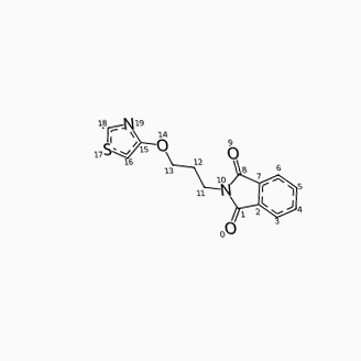 O=C1c2ccccc2C(=O)N1CCCOc1cs[c]n1